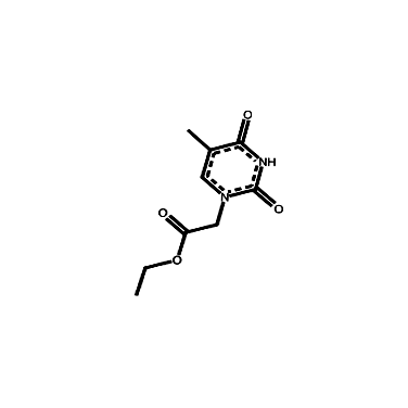 CCOC(=O)Cn1cc(C)c(=O)[nH]c1=O